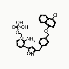 Nc1c(-c2cc(Cc3ccc(COc4ccc(Cl)c5ccccc45)cc3)no2)ccc[n+]1COP(=O)(O)O